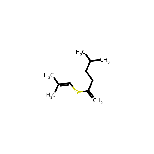 C=C(CCC(C)C)SC=C(C)C